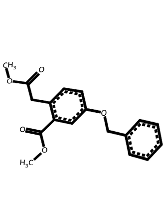 COC(=O)Cc1ccc(OCc2ccccc2)cc1C(=O)OC